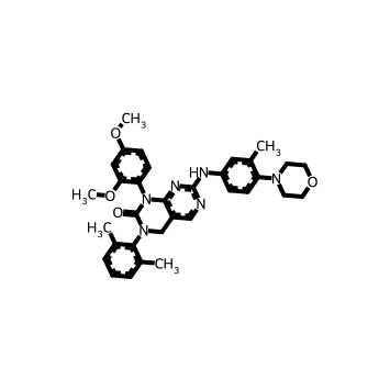 COc1ccc(N2C(=O)N(c3c(C)cccc3C)Cc3cnc(Nc4ccc(N5CCOCC5)c(C)c4)nc32)c(OC)c1